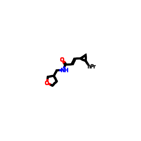 CCCC1CC1/C=C/C(=O)NCC1CCOC1